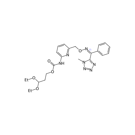 CCOC(CCOC(=O)Nc1cccc(CO/N=C(/c2ccccc2)c2nnnn2C)n1)OCC